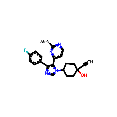 C#CC1(O)CCC(n2cnc(-c3ccc(F)cc3)c2-c2ccnc(NC)n2)CC1